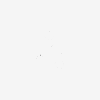 CC(C1=Cc2ccccc2C1)C1C=Cc2ccccc21.[Cl-].[Cl-].[Zr+2]